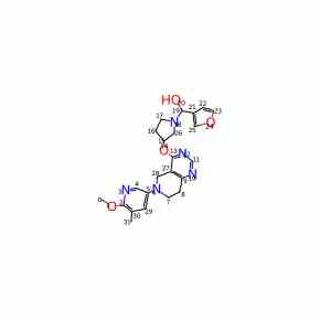 COc1ncc(N2CCc3ncnc(OC4CCN(C(O)c5ccoc5)C4)c3C2)cc1C